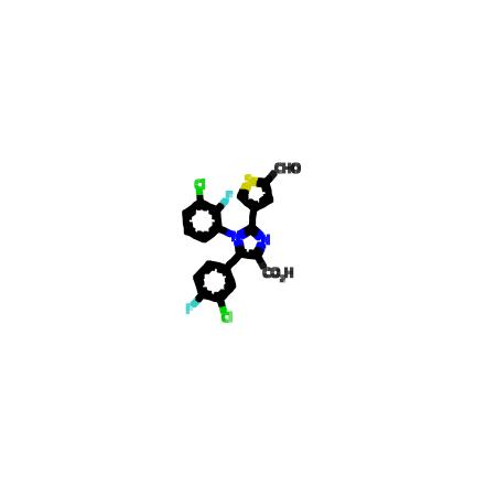 O=Cc1cc(-c2nc(C(=O)O)c(-c3ccc(F)c(Cl)c3)n2-c2cccc(Cl)c2F)cs1